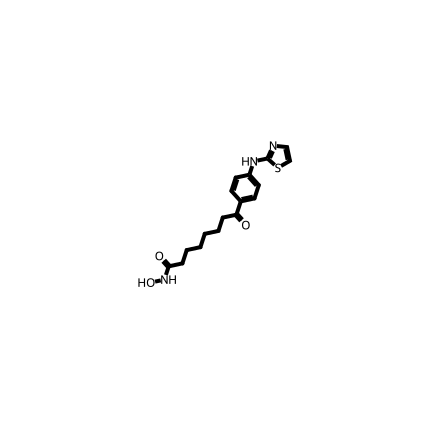 O=C(CCCCCCC(=O)c1ccc(Nc2nccs2)cc1)NO